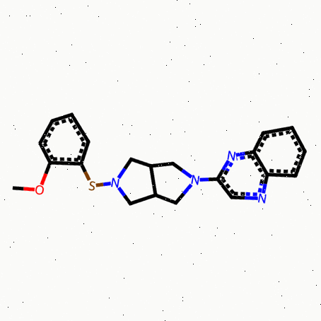 COc1ccccc1SN1CC2CN(c3cnc4ccccc4n3)CC2C1